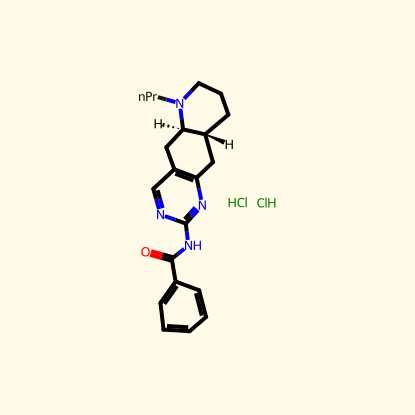 CCCN1CCC[C@@H]2Cc3nc(NC(=O)c4ccccc4)ncc3C[C@H]21.Cl.Cl